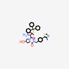 Cc1ncsc1-c1ccc(CNC(=O)[C@@H]2C[C@@H](O)CN2C(=O)[C@@H](N)C(C)(C)SC(c2ccccc2)(c2ccccc2)c2ccccc2)cc1